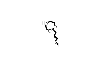 IS/C=C/CB1OCCNCCO1